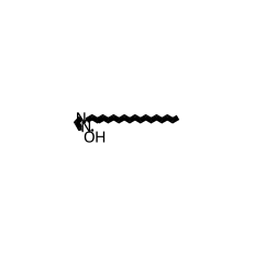 CCCCCCCCCCCCCCC=CCC1=NCCN1CO